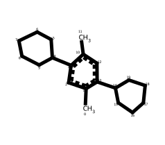 Cc1cc(C2CCCCC2)c(C)cc1C1CCCCC1